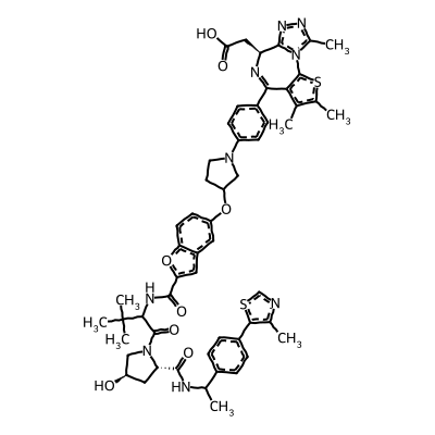 Cc1ncsc1-c1ccc(C(C)NC(=O)[C@@H]2C[C@@H](O)CN2C(=O)C(NC(=O)c2cc3cc(OC4CCN(c5ccc(C6=N[C@@H](CC(=O)O)c7nnc(C)n7-c7sc(C)c(C)c76)cc5)C4)ccc3o2)C(C)(C)C)cc1